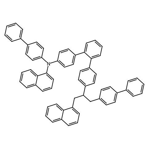 c1ccc(-c2ccc(CC(Cc3cccc4ccccc34)c3ccc(-c4ccccc4-c4ccc(N(c5ccc(-c6ccccc6)cc5)c5cccc6ccccc56)cc4)cc3)cc2)cc1